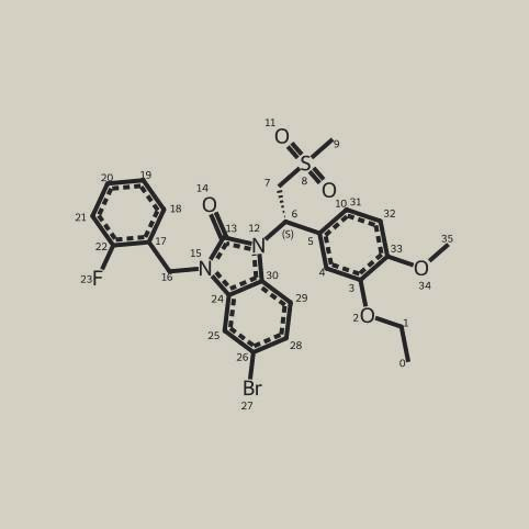 CCOc1cc([C@@H](CS(C)(=O)=O)n2c(=O)n(Cc3ccccc3F)c3cc(Br)ccc32)ccc1OC